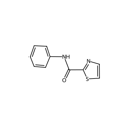 O=C(Nc1cc[c]cc1)c1nccs1